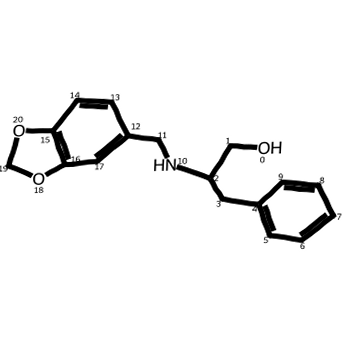 OCC(Cc1ccccc1)NCc1ccc2c(c1)OCO2